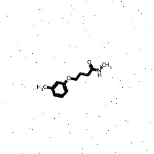 CNC(=O)CCCOc1cc[c]c(C)c1